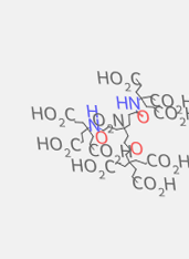 O=C(O)CCC(CCC(=O)O)(CCC(=O)O)CC(=O)CCC(CCC(=O)NC(CCC(=O)O)(CCC(=O)O)CCC(=O)O)(CCC(=O)NC(CCC(=O)O)(CCC(=O)O)CC(=O)O)[N+](=O)[O-]